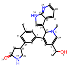 Cc1cc(C2=CC(C(C)O)=CN(C)C2c2c[nH]c3ncccc23)cc(C2CNC(=O)C2)c1